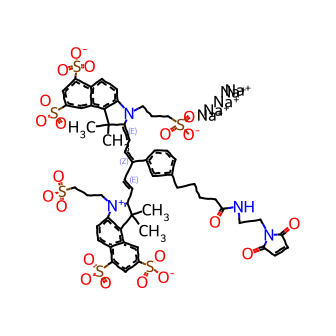 CC1(C)C(/C=C/C(=C/C=C2/N(CCCS(=O)(=O)[O-])c3ccc4c(S(=O)(=O)[O-])cc(S(=O)(=O)[O-])cc4c3C2(C)C)c2cccc(CCCCC(=O)NCCN3C(=O)C=CC3=O)c2)=[N+](CCCS(=O)(=O)[O-])c2ccc3c(S(=O)(=O)[O-])cc(S(=O)(=O)[O-])cc3c21.[Na+].[Na+].[Na+].[Na+].[Na+]